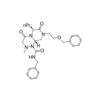 CCC[C@H]1C(=O)N(CCOCc2ccccc2)C[C@H]2N1C(=O)CN(C)N2C(=O)NCc1ccccc1